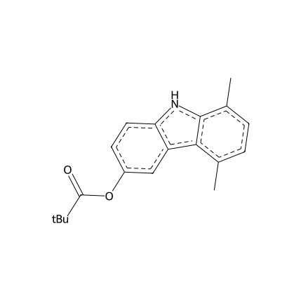 Cc1ccc(C)c2c1[nH]c1ccc(OC(=O)C(C)(C)C)cc12